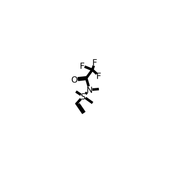 C=CS(C)(C)N(C)C(=O)C(F)(F)F